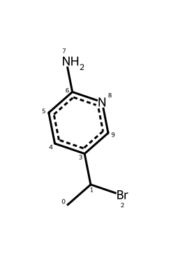 CC(Br)c1ccc(N)nc1